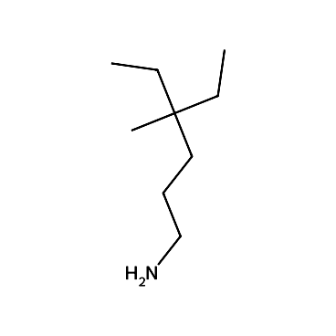 CCC(C)(CC)CCCN